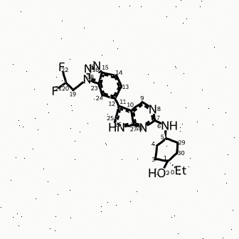 CC[C@]1(O)CC[C@@H](Nc2ncc3c(-c4ccc5nnn(CC(F)F)c5c4)c[nH]c3n2)CC1